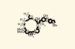 C=CCC1/C=C(\C)CC(C)CC(OC)C2OC(O)(C(=O)C(=O)N3CCCCC3C(=O)OC(C(C)=CC3CCC(Nc4ccc5c(ccn5CCC)c4)C(O)C3)C(C)C(O)CC1=O)C(C)CC2OC